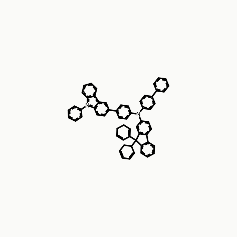 C1=CCC(C2(C3=CCCC=C3)c3ccccc3-c3ccc(N(c4ccc(-c5ccccc5)cc4)c4ccc(-c5ccc6c(c5)c5ccccc5n6-c5ccccc5)cc4)cc32)C=C1